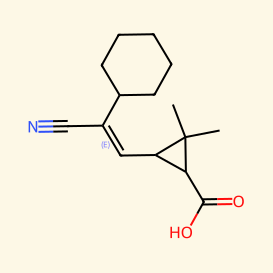 CC1(C)C(/C=C(/C#N)C2CCCCC2)C1C(=O)O